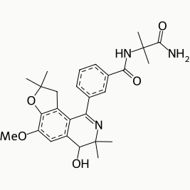 COc1cc2c(c3c1OC(C)(C)C3)C(c1cccc(C(=O)NC(C)(C)C(N)=O)c1)=NC(C)(C)C2O